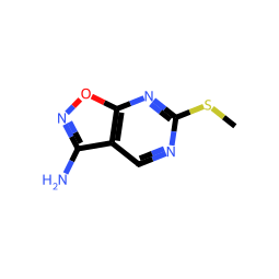 CSc1ncc2c(N)noc2n1